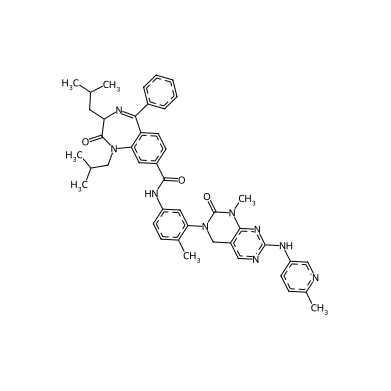 Cc1ccc(Nc2ncc3c(n2)N(C)C(=O)N(c2cc(NC(=O)c4ccc5c(c4)N(CC(C)C)C(=O)C(CC(C)C)N=C5c4ccccc4)ccc2C)C3)cn1